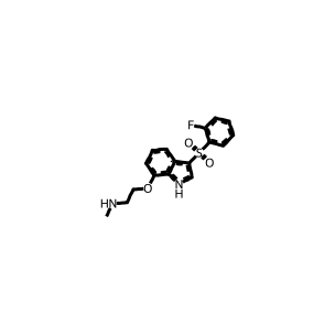 CNCCOc1cccc2c(S(=O)(=O)c3ccccc3F)c[nH]c12